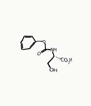 O=C(N[C@@H](CO)C(=O)O)Oc1ccccc1